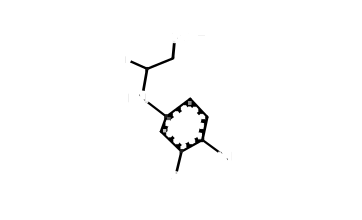 CCC(CS(=O)(=O)O)Nc1ccc(N)c(C)c1